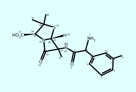 Cc1cccc(C(N)C(=O)NC2(C)C(=O)N3[C@@H](C(=O)O)C(C)(C)S[C@@H]32)c1